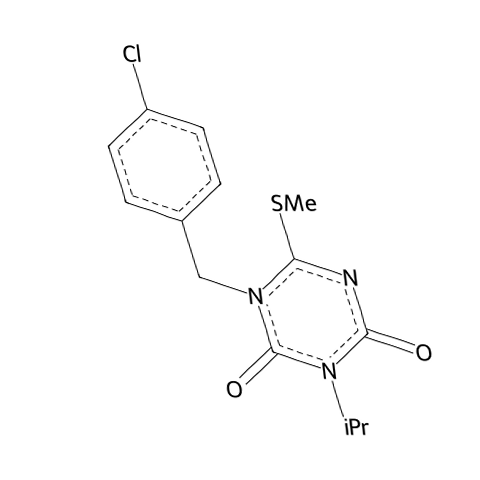 CSc1nc(=O)n(C(C)C)c(=O)n1Cc1ccc(Cl)cc1